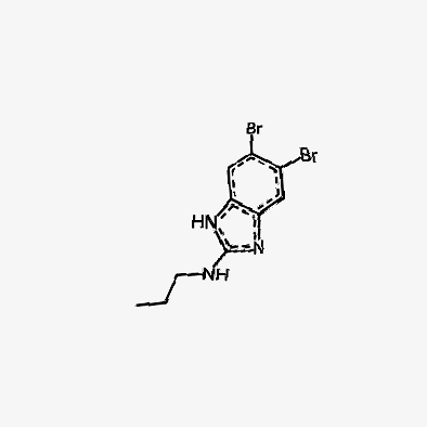 CCCNc1nc2cc(Br)c(Br)cc2[nH]1